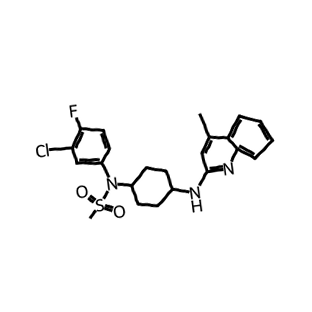 Cc1cc(NC2CCC(N(c3ccc(F)c(Cl)c3)S(C)(=O)=O)CC2)nc2ccccc12